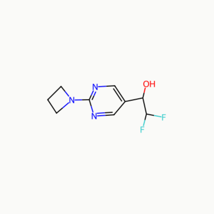 OC(c1cnc(N2CCC2)nc1)C(F)F